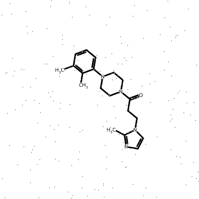 Cc1cccc(N2CCN(C(=O)CCn3ccnc3C)CC2)c1C